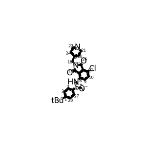 CC(C)(C)c1ccc([S+]([O-])Nc2ccc(Cl)c3c2C(=O)N(Cc2ccncc2)C3=O)cc1